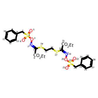 CCOC(=O)/C(=N/OS(=O)(=O)Cc1ccccc1)SCCS/C(=N\OS(=O)(=O)Cc1ccccc1)C(=O)OCC